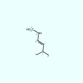 CN(C)C=NNC(=O)O